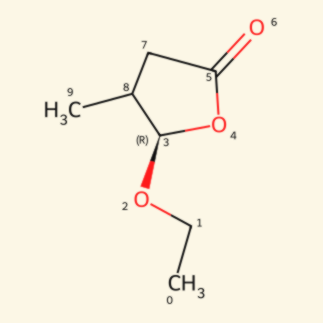 CCO[C@@H]1OC(=O)CC1C